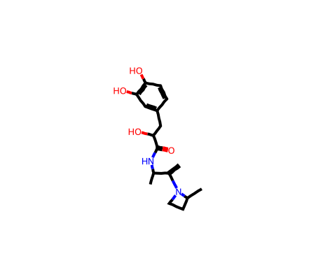 C=C(C(C)NC(=O)C(O)Cc1ccc(O)c(O)c1)N1CCC1C